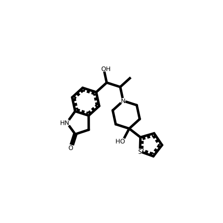 CC(C(O)c1ccc2c(c1)CC(=O)N2)N1CCC(O)(c2cccs2)CC1